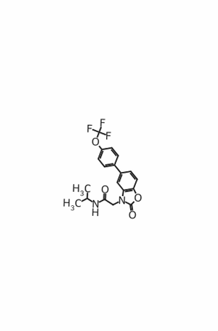 CC(C)NC(=O)Cn1c(=O)oc2ccc(-c3ccc(OC(F)(F)F)cc3)cc21